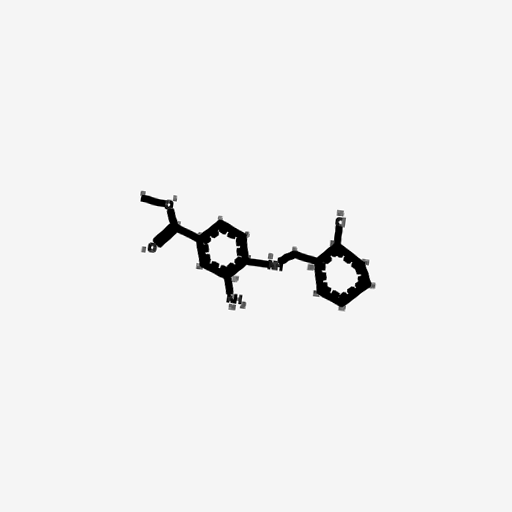 COC(=O)c1ccc(NCc2ccccc2Cl)c(N)c1